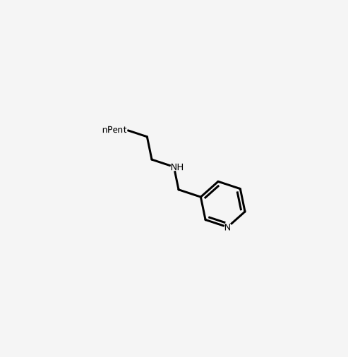 CCCCCCCNCc1cccnc1